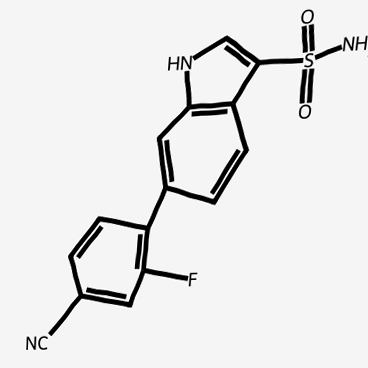 N#Cc1ccc(-c2ccc3c(S(N)(=O)=O)c[nH]c3c2)c(F)c1